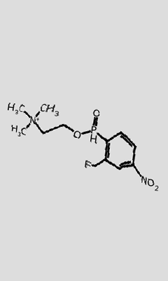 C[N+](C)(C)CCO[PH](=O)c1ccc([N+](=O)[O-])cc1F